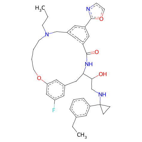 CCCN1CCCCOc2cc(F)cc(c2)CC(C(O)CNC2(c3cccc(CC)c3)CC2)NC(=O)c2cc(cc(-c3ncco3)c2)C1